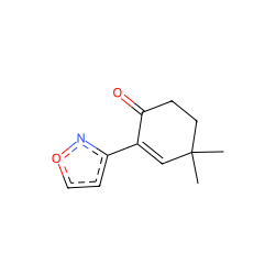 CC1(C)C=C(c2ccon2)C(=O)CC1